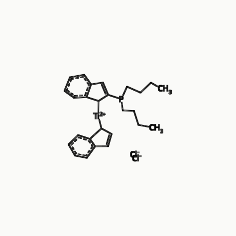 CCCCP(CCCC)C1=Cc2ccccc2[CH]1[Ti+2][CH]1C=Cc2ccccc21.[Cl-].[Cl-]